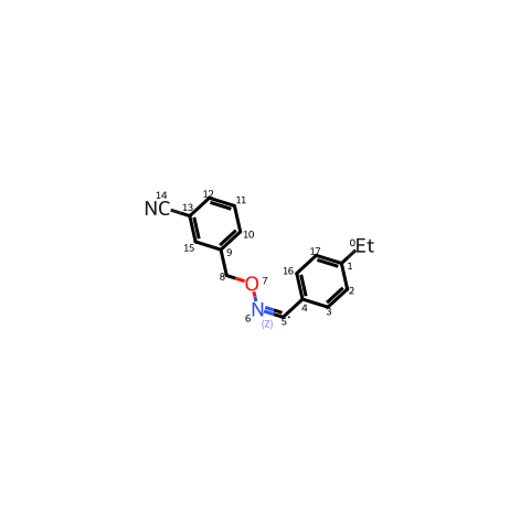 CCc1ccc(/[C]=N\OCc2cccc(C#N)c2)cc1